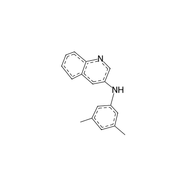 Cc1cc(C)cc(Nc2cnc3ccccc3c2)c1